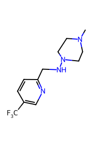 CN1CCN(NCc2ccc(C(F)(F)F)cn2)CC1